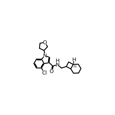 O=C(NCC1C[C@@H]2CCCCC12)c1cn(C2CCOC2)c2cccc(Cl)c12